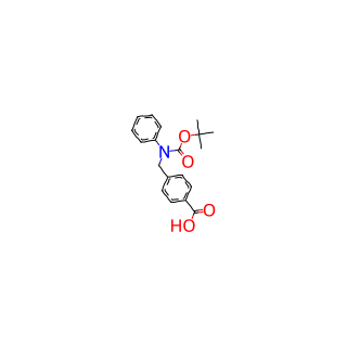 CC(C)(C)OC(=O)N(Cc1ccc(C(=O)O)cc1)c1ccccc1